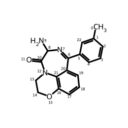 Cc1cccc(C2=NC(N)C(=O)N3CCOc4cccc2c43)c1